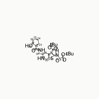 CC(C)(C)OC(=O)C(=O)Nc1sc2c(c1C(=O)OC(C)(C)C)CC(CNC(=O)c1ccccc1O)NC2